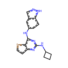 c1cc2nc(NC3CCC3)nc(Nc3ccc4[nH]ncc4c3)c2s1